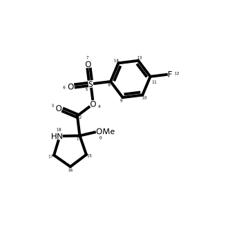 COC1(C(=O)OS(=O)(=O)c2ccc(F)cc2)CCCN1